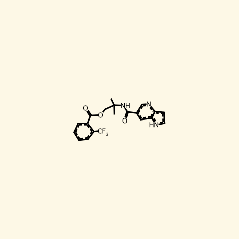 CC(C)(COC(=O)c1ccccc1C(F)(F)F)NC(=O)c1cnc2cc[nH]c2c1